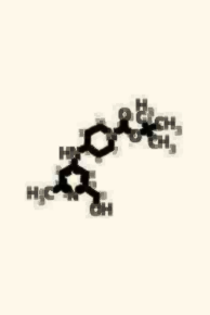 Cc1cc(NC2CCN(C(=O)OC(C)(C)C)CC2)cc(CO)n1